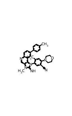 Cc1ccc(-c2ccc3ncc4c(c3c2)n(-c2cc(C#N)c(N3CCOCC3)cc2C)c(=N)n4C)cc1